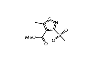 COC(=O)c1c(S(C)(=O)=O)nsc1C